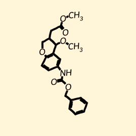 COC(=O)CC1COc2ccc(NC(=O)OCc3ccccc3)cc2C1OC